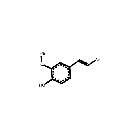 CC(=O)C=Cc1ccc(O)c(OC(C)(C)C)c1